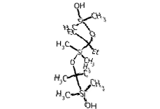 CCC(CC)(O[Si](C)(C)O)[Si](C)(C)OC(C)(C)[Si](C)(C)O